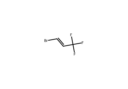 FC(F)(F)C=CBr